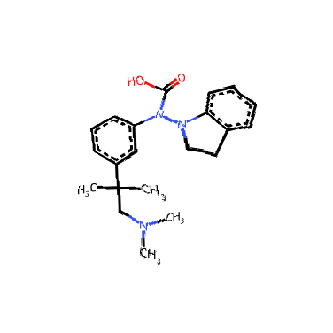 CN(C)CC(C)(C)c1cccc(N(C(=O)O)N2CCc3ccccc32)c1